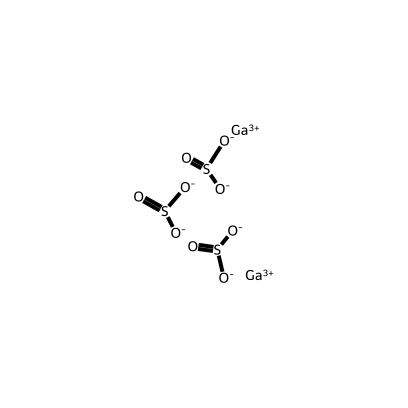 O=S([O-])[O-].O=S([O-])[O-].O=S([O-])[O-].[Ga+3].[Ga+3]